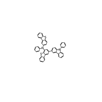 c1ccc(N(c2ccc3sc4ccccc4c3c2)c2cc(-c3ccc4c(c3)c3ccccc3n4-c3ccccc3)cc3c2sc2ccccc23)cc1